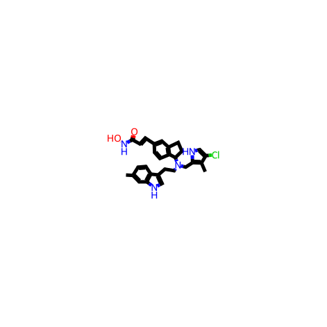 Cc1ccc2c(CCN(Cc3[nH]cc(Cl)c3C)C3CCc4cc(C=CC(=O)NO)ccc43)c[nH]c2c1